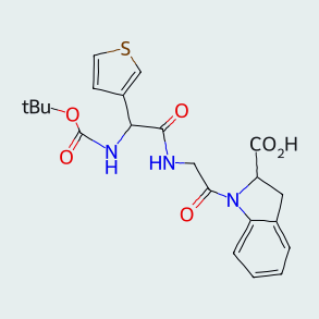 CC(C)(C)OC(=O)NC(C(=O)NCC(=O)N1c2ccccc2CC1C(=O)O)c1ccsc1